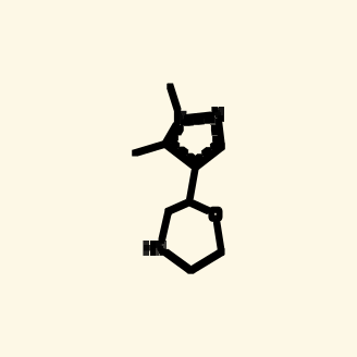 Cc1c(C2CNCCO2)cnn1C